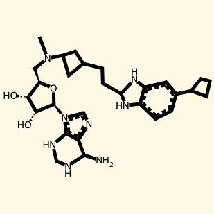 CN(C[C@H]1O[C@@H](n2cnc3c2NCNC3N)[C@H](O)[C@@H]1O)C1CC(CCC2Nc3ccc(C4CCC4)cc3N2)C1